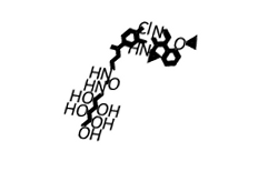 CC(CCCNC(=O)NCC(O)C(O)C(O)C(O)CO)c1ccc(Cl)c(CNC2(c3cnccc3-c3ccccc3OC3CC3)CC2)c1